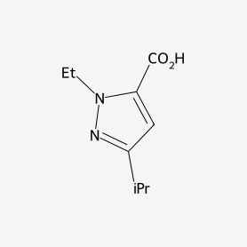 CCn1nc(C(C)C)cc1C(=O)O